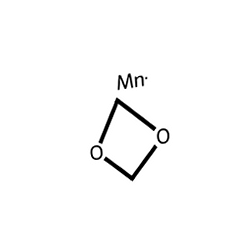 C1OCO1.[Mn]